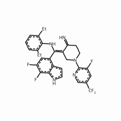 CCc1cccc(CC)c1N/C(=C1/CN(c2ncc(C(F)(F)F)cc2F)CCC1=N)c1cc(F)c(F)c2[nH]ccc12